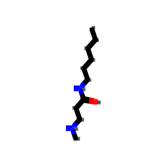 CCCCCCNC(=O)CCNC